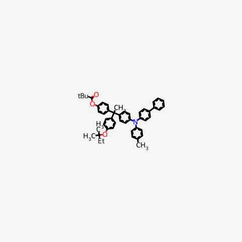 CCC(C)(C)Oc1ccc(C(C)(c2ccc(OC(=O)C(C)(C)C)cc2)c2ccc(N(c3ccc(C)cc3)c3ccc(-c4ccccc4)cc3)cc2)cc1